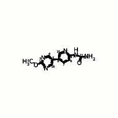 COc1ncc(-c2ccc(NC(N)=O)nc2)cn1